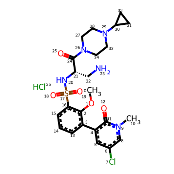 COc1c(-c2cc(Cl)cn(C)c2=O)cccc1S(=O)(=O)N[C@@H](CN)C(=O)N1CCN(C2CC2)CC1.Cl